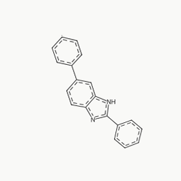 [c]1ccc(-c2ccc3nc(-c4ccccc4)[nH]c3c2)cc1